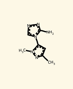 Cc1cc(-n2cnnc2N)n(C)n1